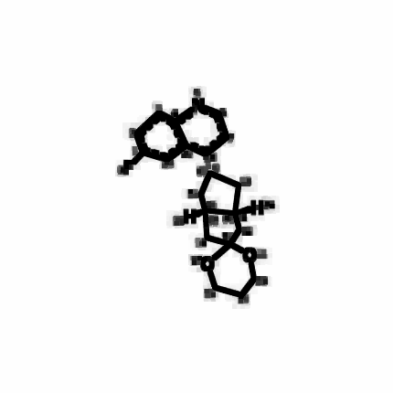 Fc1ccc2nccc([C@@H]3C[C@@H]4CC5(C[C@@H]4C3)OCCCO5)c2c1